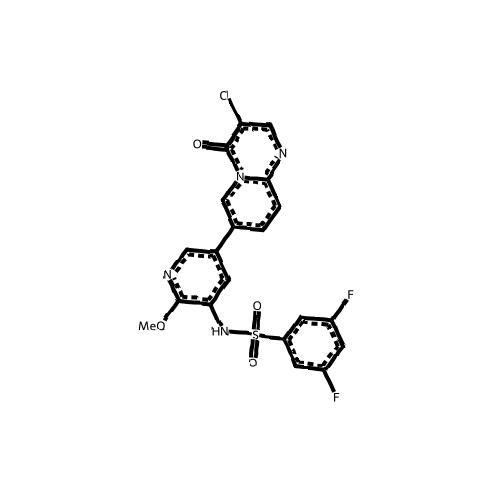 COc1ncc(-c2ccc3ncc(Cl)c(=O)n3c2)cc1NS(=O)(=O)c1cc(F)cc(F)c1